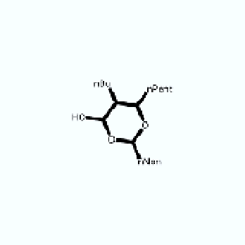 CCCCCCCCCC1OC(O)C(CCCC)C(CCCCC)O1